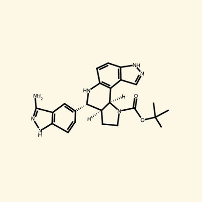 CC(C)(C)OC(=O)N1CC[C@@H]2[C@H]1c1c(ccc3[nH]ncc13)N[C@H]2c1ccc2[nH]nc(N)c2c1